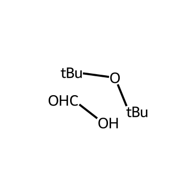 CC(C)(C)OC(C)(C)C.O=CO